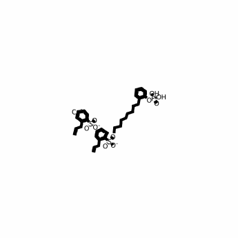 C=CCc1ccccc1S(=O)(=O)[O-].C=CCc1ccccc1S(=O)(=O)[O-].CCCCCCCCCc1ccccc1OP(=O)(O)O.[Ca+2]